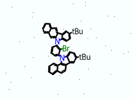 CC(C)(C)c1ccc2c(c1)c1cc3ccccc3cc1n2-c1cccc(-n2c3ccc(C(C)(C)C)cc3c3ccc4ccccc4c32)c1Br